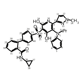 CC(C)N(c1ccccc1)c1c(-c2ccn(C)n2)nc(O)c(S(=O)(=O)c2ccc(-c3ccccc3C(=O)NC3CC3)cc2)c1O